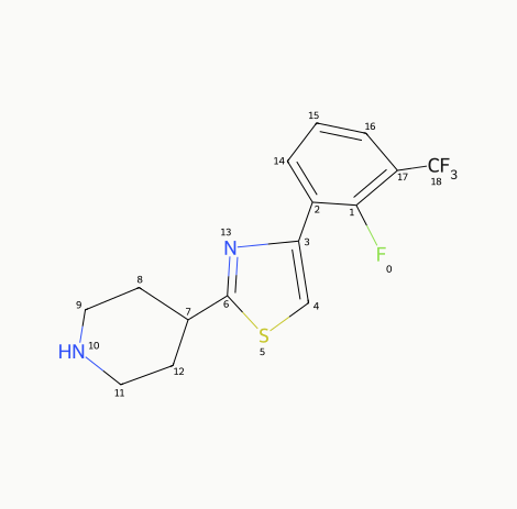 Fc1c(-c2csc(C3CCNCC3)n2)cccc1C(F)(F)F